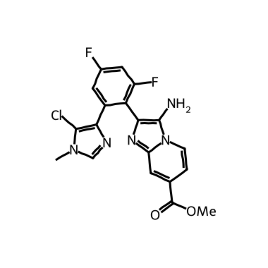 COC(=O)c1ccn2c(N)c(-c3c(F)cc(F)cc3-c3ncn(C)c3Cl)nc2c1